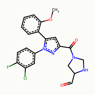 COc1ccccc1-c1cc(C(=O)N2CNC(C=O)C2)nn1-c1ccc(F)c(Cl)c1